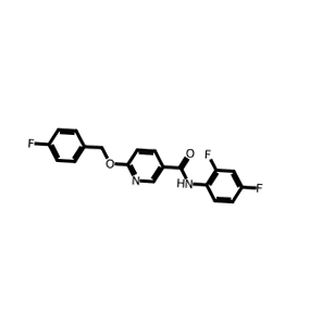 O=C(Nc1ccc(F)cc1F)c1ccc(OCc2ccc(F)cc2)nc1